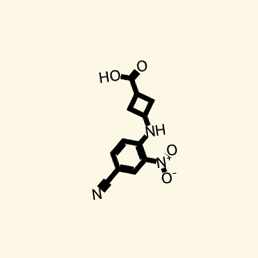 N#Cc1ccc(NC2CC(C(=O)O)C2)c([N+](=O)[O-])c1